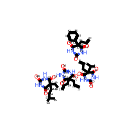 C=CCC1(C(C)C)C(=O)NC(=O)NC1=O.C=CCC1(CC=C)C(=O)NC(=O)NC1=O.C=CCC1(c2ccccc2)C(=O)NC(=O)NC1=O.CCC1(CCC(C)C)C(=O)NC(=O)NC1=O